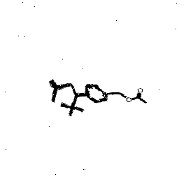 CC(=O)OCc1ccc(C(C=C(C)C)C(C)(C)C)cc1